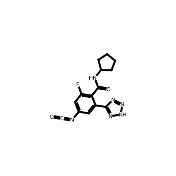 O=C=Nc1cc(F)c(C(=O)NC2CCCC2)c(-c2nn[nH]n2)c1